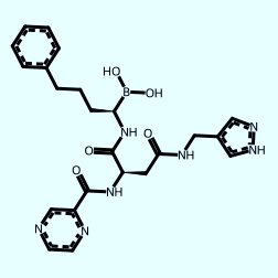 O=C(C[C@@H](NC(=O)c1cnccn1)C(=O)N[C@@H](CCCc1ccccc1)B(O)O)NCc1cn[nH]c1